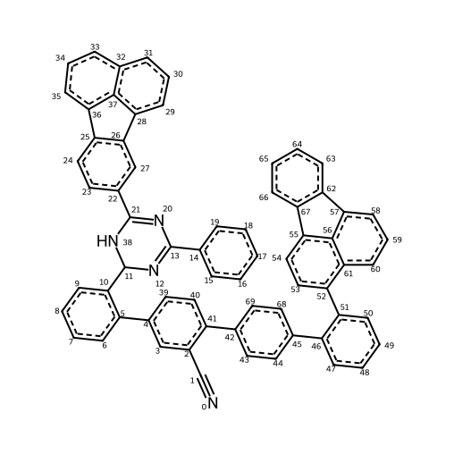 N#Cc1cc(-c2ccccc2C2N=C(c3ccccc3)N=C(c3ccc4c(c3)-c3cccc5cccc-4c35)N2)ccc1-c1ccc(-c2ccccc2-c2ccc3c4c(cccc24)-c2ccccc2-3)cc1